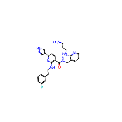 NCCCNc1ncccc1CNC(=O)c1ccc(-c2cn[nH]c2)nc1NCCc1cccc(F)c1